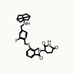 O=C1CCC(N2Cc3c(SCc4ccc(CNC56CC7CC5CC7C6)cc4F)cccc3C2=O)C(=O)N1